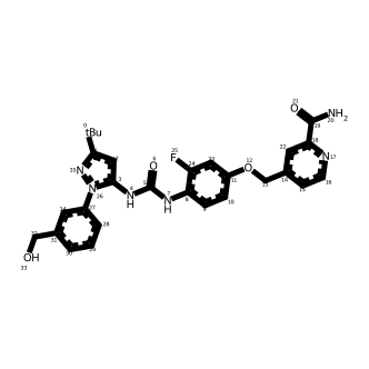 CC(C)(C)c1cc(NC(=O)Nc2ccc(OCc3ccnc(C(N)=O)c3)cc2F)n(-c2cccc(CO)c2)n1